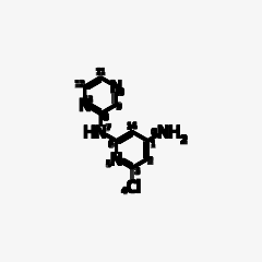 Nc1cc(Cl)nc(Nc2cnccn2)c1